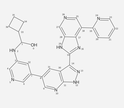 OC(Nc1cncc(-c2cnc3[nH]nc(-c4nc5c(-c6ccccn6)cncc5[nH]4)c3c2)c1)C1CCC1